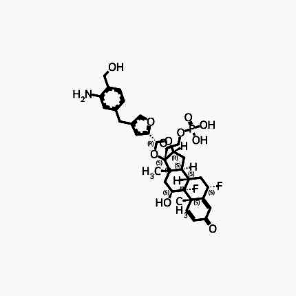 C[C@]12C=CC(=O)C=C1[C@@H](F)C[C@H]1[C@@H]3C[C@H]4O[C@@H](c5cc(Cc6ccc(CO)c(N)c6)co5)O[C@@]4(C(=O)COP(=O)(O)O)[C@@]3(C)C[C@H](O)[C@@]12F